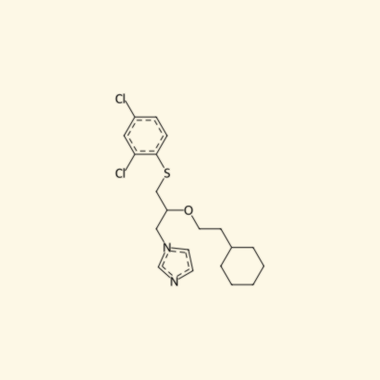 Clc1ccc(SCC(Cn2ccnc2)OCCC2CCCCC2)c(Cl)c1